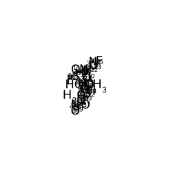 C[C@]12C[C@H](O)[C@H]3[C@@H](CCC4=Cc5c(c(C(=O)SCF)nn5-c5ccc(F)nc5)C[C@@]43C)[C@@H]1CC[C@H]2OC(=O)c1cocn1